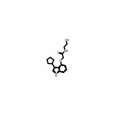 O=C(COc1cccc2[nH]cc(C3CCCC3)c12)NCCO